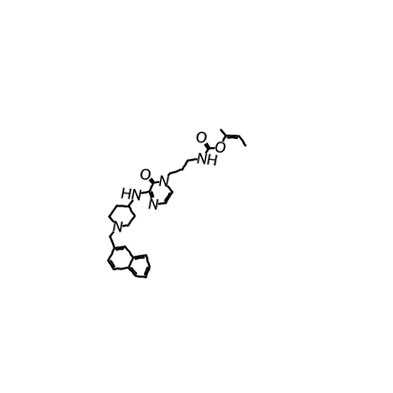 C/C=C(/C)OC(=O)NCCCn1ccnc(NC2CCN(Cc3ccc4ccccc4c3)CC2)c1=O